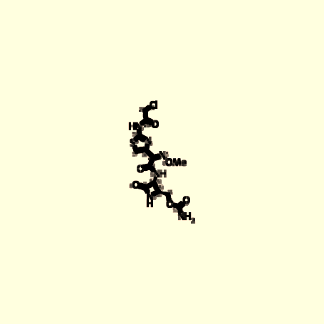 CON=C(C(=O)N[C@@H]1C(=O)N[C@@H]1COC(N)=O)c1csc(NC(=O)CCl)n1